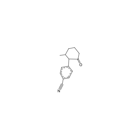 CC1CCCC(=O)C1c1ccc(C#N)cc1